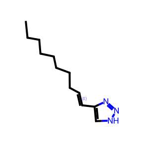 CCCCCCCC/C=C/c1c[nH]nn1